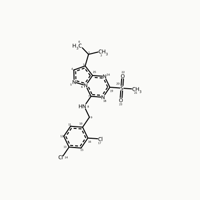 CC(C)c1cnn2c(NCc3ccc(Cl)cc3Cl)nc(S(C)(=O)=O)nc12